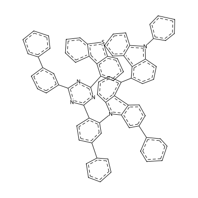 c1ccc(-c2cccc(-c3nc(-c4ccc(-c5ccccc5)cc4-n4c5cc(-c6ccccc6)ccc5c5c(-c6cccc7c6c6ccccc6n7-c6ccccc6)cccc54)nc(-c4cccc5sc6ccccc6c45)n3)c2)cc1